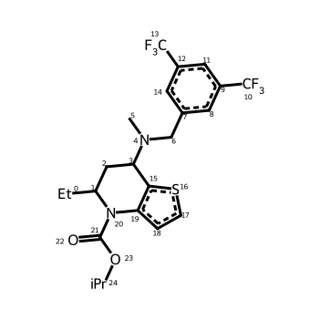 CCC1CC(N(C)Cc2cc(C(F)(F)F)cc(C(F)(F)F)c2)c2sccc2N1C(=O)OC(C)C